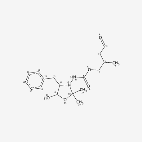 CC(CC=O)COC(=O)NN1C(Cc2ccccc2)C(O)OC1(C)C